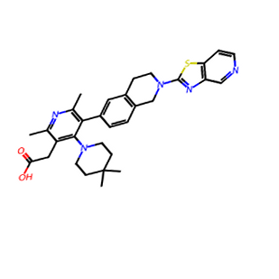 Cc1nc(C)c(-c2ccc3c(c2)CCN(c2nc4cnccc4s2)C3)c(N2CCC(C)(C)CC2)c1CC(=O)O